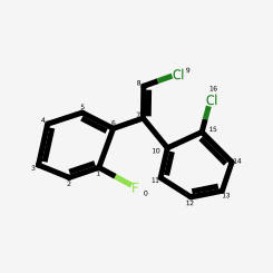 Fc1ccccc1C(=CCl)c1ccccc1Cl